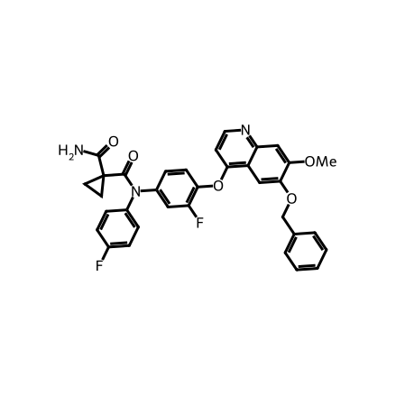 COc1cc2nccc(Oc3ccc(N(C(=O)C4(C(N)=O)CC4)c4ccc(F)cc4)cc3F)c2cc1OCc1ccccc1